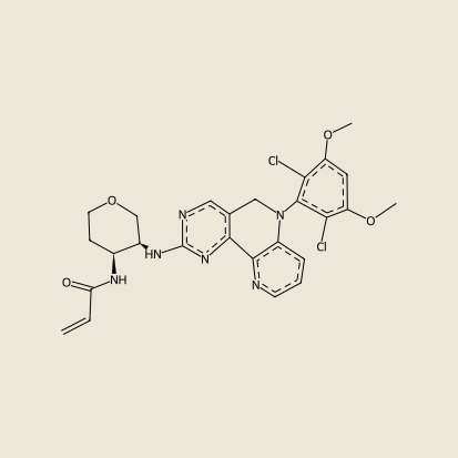 C=CC(=O)N[C@H]1CCOC[C@H]1Nc1ncc2c(n1)-c1ncccc1N(c1c(Cl)c(OC)cc(OC)c1Cl)C2